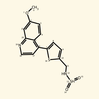 COc1ccc2c(-c3ccc(CN[SH](=O)=O)s3)ccnc2c1